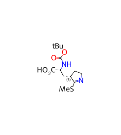 CSC1=NCC[C@H]1CC(NC(=O)OC(C)(C)C)C(=O)O